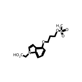 CS(=O)(=O)OCCCOc1cccc2c1ccn2CC(=O)O